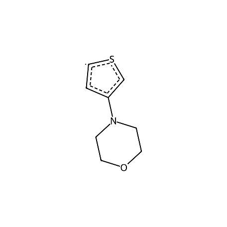 [c]1cc(N2CCOCC2)cs1